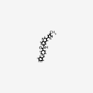 Cn1cc(-c2cnc3cnc(NC(=O)C4CCN(Cc5ccccc5)CC4)cc3c2)cn1